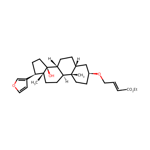 CCOC(=O)C=CCO[C@H]1CC[C@@]2(C)[C@H](CC[C@@H]3[C@@H]2CC[C@]2(C)[C@@H](c4ccoc4)CC[C@]32O)C1